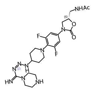 CC(=O)NC[C@H]1CN(c2cc(F)c(N3CCC(N/N=N\C(=N)N4CCNCC4)CC3)c(F)c2)C(=O)O1